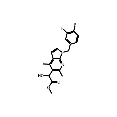 COC(=O)C(O)c1c(C)nc2c(ccn2Cc2ccc(F)c(F)c2)c1C